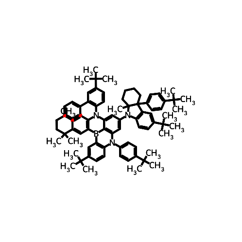 CC1CCC(C)(C)c2cc3c(cc21)N(c1ccc(C(C)(C)C)cc1C1=CC=C=C=C1)c1cc(N2c4ccc(C(C)(C)C)cc4C4(c5ccc(C(C)(C)C)cc5)CCCCC24C)cc2c1B3c1cc(C(C)(C)C)ccc1N2c1ccc(C(C)(C)C)cc1